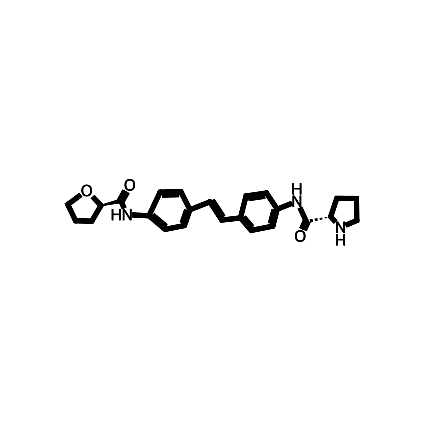 O=C(Nc1ccc(/C=C/c2ccc(NC(=O)[C@H]3CCCO3)cc2)cc1)[C@@H]1CCCN1